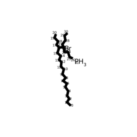 CCCCCCCCCCCCCCCCC(CCCC)C(Br)(CCCC)CCCC.P